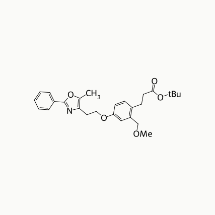 COCc1cc(OCCc2nc(-c3ccccc3)oc2C)ccc1CCC(=O)OC(C)(C)C